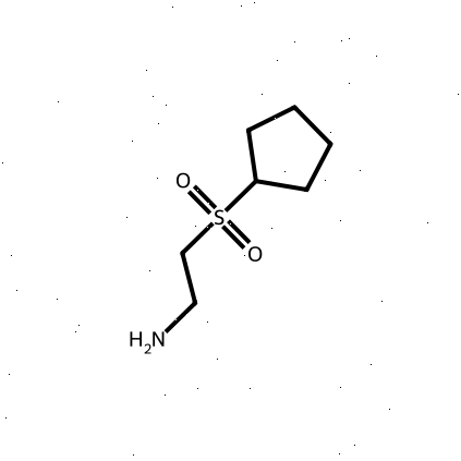 NCCS(=O)(=O)C1CCCC1